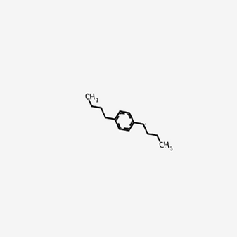 CCC[CH]c1ccc(CCCC)cc1